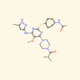 COc1c(Nc2cc(C)[nH]n2)nc(Sc2ccc(NC(C)=O)cc2)nc1N1CCN(C(=O)C(C)C)CC1